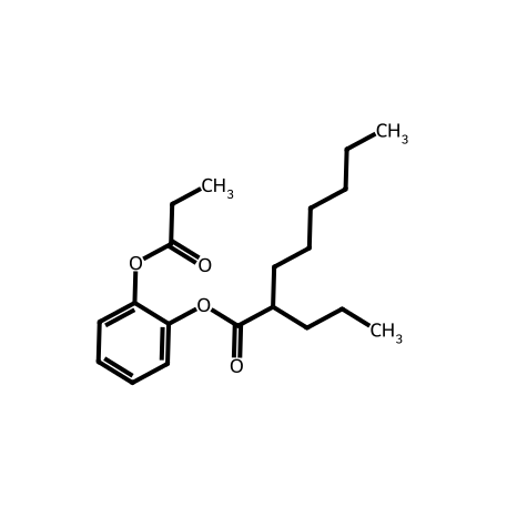 CCCCCCC(CCC)C(=O)Oc1ccccc1OC(=O)CC